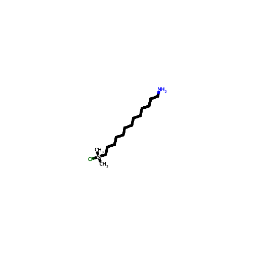 C[Si](C)(Cl)CCCCCCCCCCCCCN